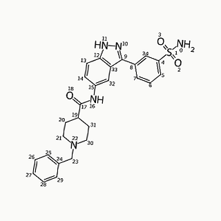 NS(=O)(=O)c1cccc(-c2n[nH]c3ccc(NC(=O)C4CCN(Cc5ccccc5)CC4)cc23)c1